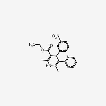 CC1=C(C(=O)OCC(F)(F)F)C(c2cccc([N+](=O)[O-])c2)C(c2ccccn2)=C(C)N1